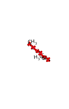 CC1C=Cc2c(c3ccccc3n2-c2ccc(-c3ccc(/C(=C(\c4ccccc4)c4ccc(-c5ccc(-n6c7ccccc7c7c(-c8ccc(/C(=C(\c9ccccc9)c9ccc(C%10SC(c%11ccc(-c%12ccc(-c%13ccc(C(=C(c%14ccccc%14)c%14ccccc%14)c%14ccccc%14)cc%13)s%12)c%12nsnc%11%12)=CC%10C)cc9)c9ccccc9)cc8)cccc76)cc5)cc4)c4ccccc4)cc3)cc2)C1